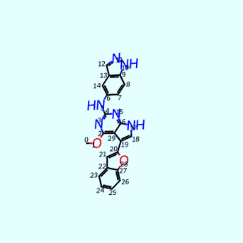 COc1nc(Nc2ccc3[nH]ncc3c2)nc2[nH]cc(-c3cc4ccccc4o3)c12